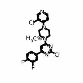 C[C@@H]1CN(c2ccncc2Cl)CCN1c1cc(-c2ccc(F)c(F)c2)nc(Cl)n1